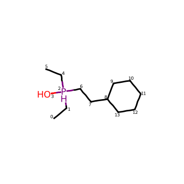 CC[PH](O)(CC)CCC1CCCCC1